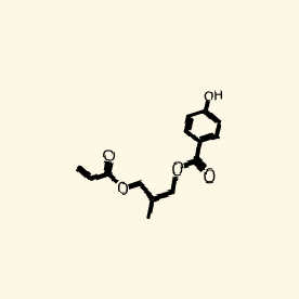 C=CC(=O)OCC(C)COC(=O)c1ccc(O)cc1